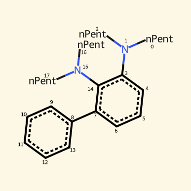 CCCCCN(CCCCC)c1cccc(-c2ccccc2)c1N(CCCCC)CCCCC